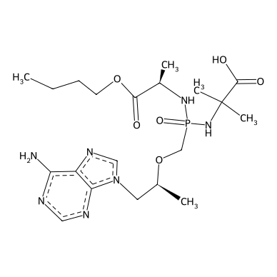 CCCCOC(=O)[C@@H](C)NP(=O)(CO[C@@H](C)Cn1cnc2c(N)ncnc21)NC(C)(C)C(=O)O